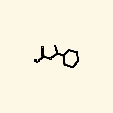 CC(OC(N)=O)C1CCCCC1